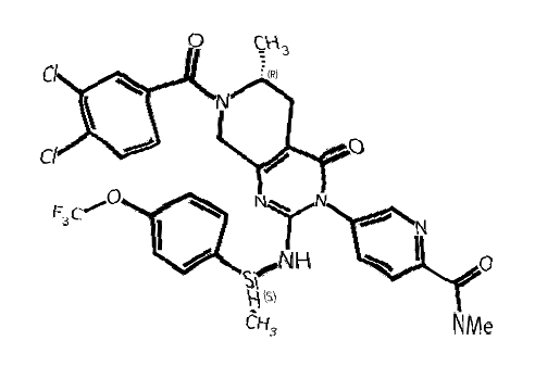 CNC(=O)c1ccc(-n2c(N[Si@@H](C)c3ccc(OC(F)(F)F)cc3)nc3c(c2=O)C[C@@H](C)N(C(=O)c2ccc(Cl)c(Cl)c2)C3)cn1